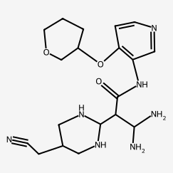 N#CCC1CNC(C(C(=O)Nc2cnccc2OC2CCCOC2)C(N)N)NC1